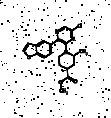 COC(=O)C1CCN(c2nc(Cl)cnc2-c2ccc3occc3c2)C(C)C1